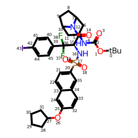 CC(C)(C)OC(=O)NC1CC2CCC(C1)N2C(=O)[C@@H](NS(=O)(=O)c1ccc2cc(OC3CCCC3)ccc2c1)C(F)(F)c1ccc(I)cc1